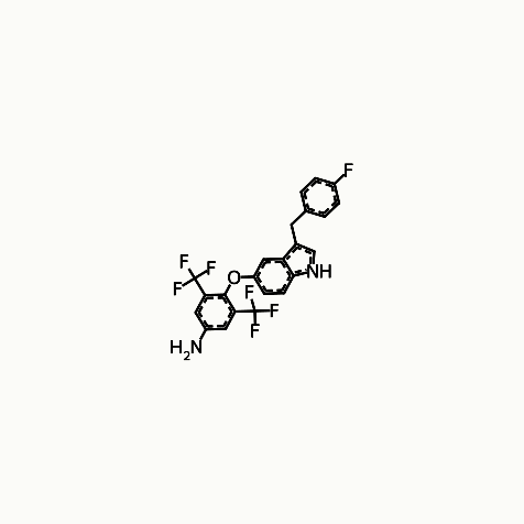 Nc1cc(C(F)(F)F)c(Oc2ccc3[nH]cc(Cc4ccc(F)cc4)c3c2)c(C(F)(F)F)c1